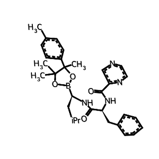 Cc1ccc(C2(C)OB([C@H](CC(C)C)NC(=O)[C@H](Cc3ccccc3)NC(=O)c3cnccn3)OC2(C)C)cc1